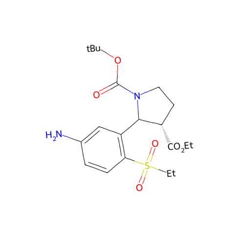 CCOC(=O)[C@H]1CCN(C(=O)OC(C)(C)C)C1c1cc(N)ccc1S(=O)(=O)CC